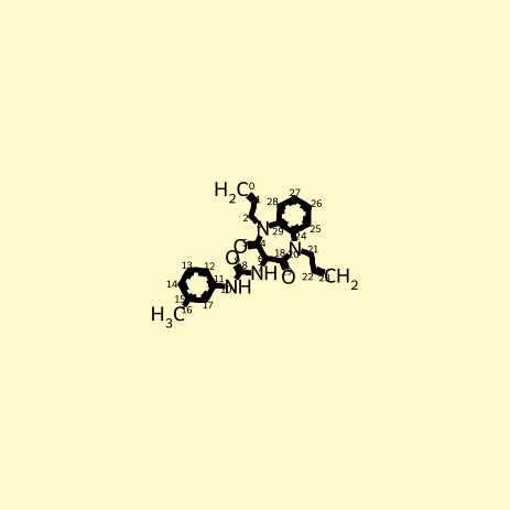 C=CCN1C(=O)C(NC(=O)Nc2cccc(C)c2)C(=O)N(CC=C)c2ccccc21